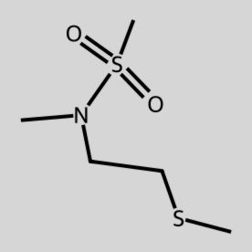 CSCCN(C)S(C)(=O)=O